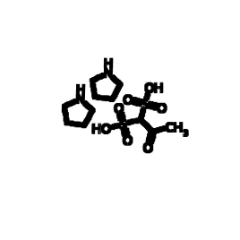 C1CCNC1.C1CCNC1.CC(=O)C(S(=O)(=O)O)S(=O)(=O)O